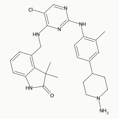 Cc1cc(C2CCN(N)CC2)ccc1Nc1ncc(Cl)c(NCc2cccc3c2C(C)(C)C(=O)N3)n1